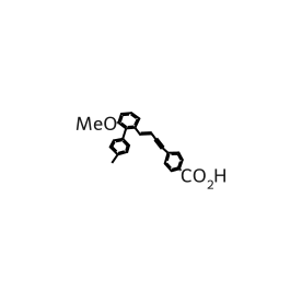 COc1cccc(/C=C/C#Cc2ccc(C(=O)O)cc2)c1-c1ccc(C)cc1